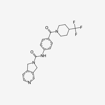 O=C(Nc1ccc(C(=O)N2CCC(C(F)(F)F)CC2)cc1)N1Cc2ccncc2C1